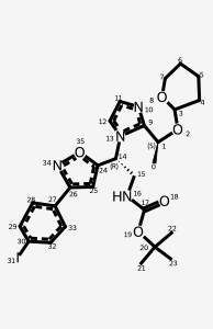 C[C@H](OC1CCCCO1)c1nccn1[C@H](CNC(=O)OC(C)(C)C)c1cc(-c2ccc(I)cc2)no1